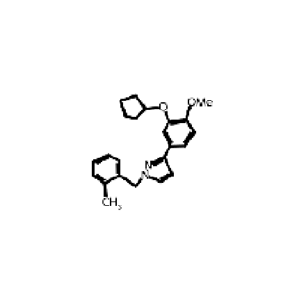 COc1ccc(-c2ccn(Cc3ccccc3C)n2)cc1OC1CCCC1